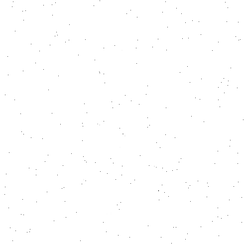 COc1cnc(Cl)cc1-c1cc(C)ncc1C(=O)Nc1nnc(CCC2CC(O)C2)s1